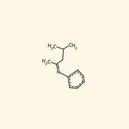 CC(CC(C)C)=Nc1ccccc1